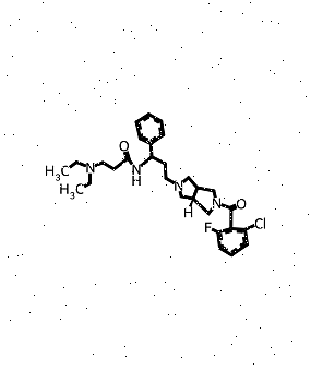 CCN(CC)CCC(=O)NC(CCN1CC2CN(C(=O)c3c(F)cccc3Cl)C[C@@H]2C1)c1ccccc1